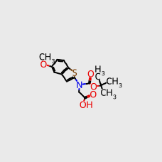 COc1ccc2sc(N(CC(=O)O)C(=O)OC(C)(C)C)cc2c1